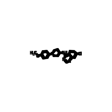 COc1ccc(N2CCC(Nc3ncnc4cc(Cl)ccc34)CC2)cc1